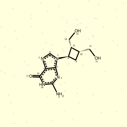 Nc1nc2c(ncn2[C@@H]2C[C@@H](CO)[C@H]2CO)c(=O)[nH]1